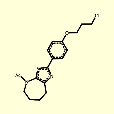 CC(=O)N1CCCCc2nc(-c3ccc(OCCCCl)cc3)sc21